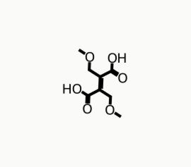 COCC(C(=O)O)=C(COC)C(=O)O